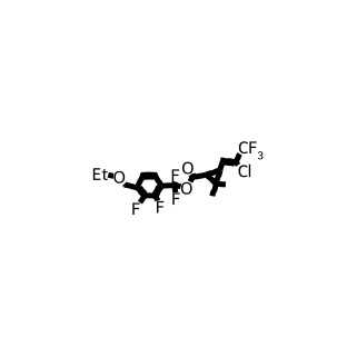 CCOCc1ccc(C(F)(F)OC(=O)C2C(C=C(Cl)C(F)(F)F)C2(C)C)c(F)c1F